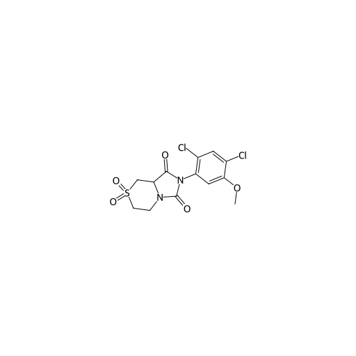 COc1cc(N2C(=O)C3CS(=O)(=O)CCN3C2=O)c(Cl)cc1Cl